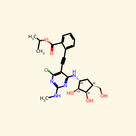 CNc1nc(Cl)c(C#Cc2ccccc2C(=O)OC(C)C)c(N[C@@H]2C[C@H](CO)[C@@H](O)[C@H]2O)n1